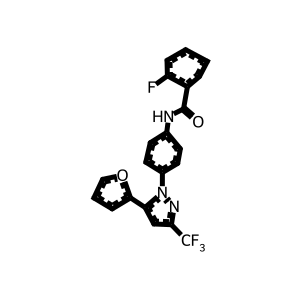 O=C(Nc1ccc(-n2nc(C(F)(F)F)cc2-c2ccco2)cc1)c1ccccc1F